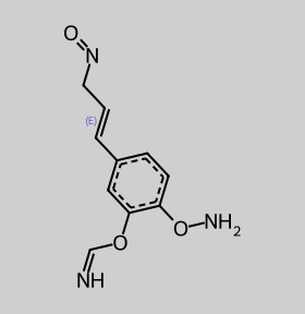 N=COc1cc(/C=C/CN=O)ccc1ON